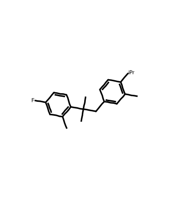 Cc1cc(CC(C)(C)c2ccc(F)cc2C)ccc1C(C)C